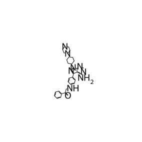 CN1CCN(C2CCC(n3nc(-c4ccc(NCC(=O)c5ccccc5)cc4)c4c(N)ncnc43)CC2)CC1